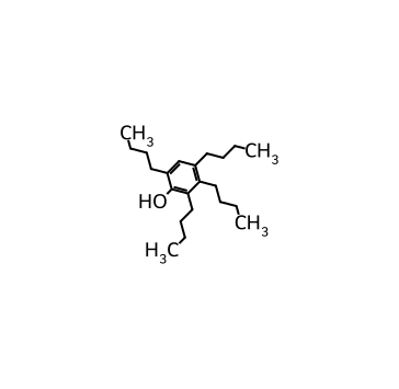 CCCCc1cc(CCCC)c(CCCC)c(CCCC)c1O